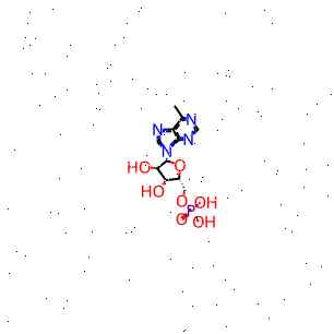 Cc1ncnc2c1ncn2[C@@H]1O[C@H](COP(=O)(O)O)[C@@H](O)[C@H]1O